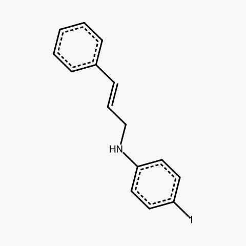 Ic1ccc(NC/C=C/c2ccccc2)cc1